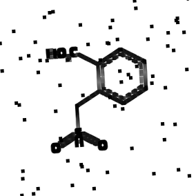 CCOC(=O)c1ccccc1C[SH](=O)=O